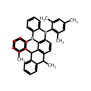 Cc1cc(C)c(B2c3ccccc3N3c4ccccc4C4(c5ccccc5C)c5ccccc5C(C)c5ccc2c3c54)c(C)c1